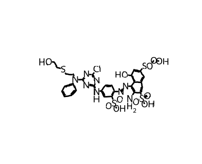 Nc1c(S(=O)(=O)O)cc2cc(SOOO)cc(O)c2c1/N=N/c1ccc(Nc2nc(Cl)nc(N(CCSCCO)c3ccccc3)n2)cc1S(=O)(=O)O